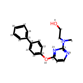 CN(CCO)c1nccc(Oc2ccc(-c3ccccc3)cc2)n1